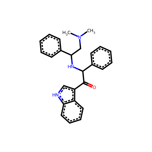 CN(C)CC(NC(C(=O)c1c[nH]c2ccccc12)c1ccccc1)c1ccccc1